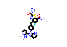 NC(=O)c1nc2c(Cc3ccc(-n4c(-c5cccnc5N)nc5cccnc54)cc3)c(F)cc(C(N)=O)c2s1